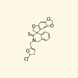 S=C1N(CC2=CCC(Cl)O2)Cc2ccccc2C12COc1cc3c(cc12)OCO3